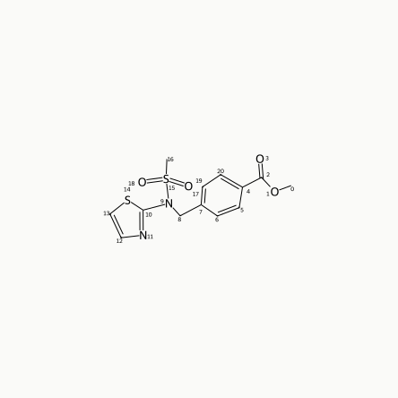 COC(=O)c1ccc(CN(c2nccs2)S(C)(=O)=O)cc1